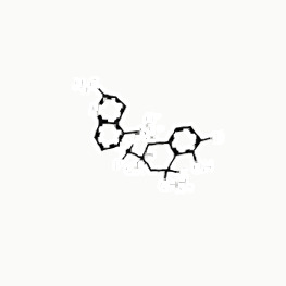 Cc1ccc2c([NH+]([O-])[C@@H]3c4ccc(Cl)c(O)c4C(C)(C)C[C@]3(O)C(F)(F)F)cccc2n1